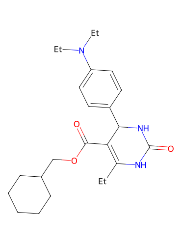 CCC1=C(C(=O)OCC2CCCCC2)C(c2ccc(N(CC)CC)cc2)NC(=O)N1